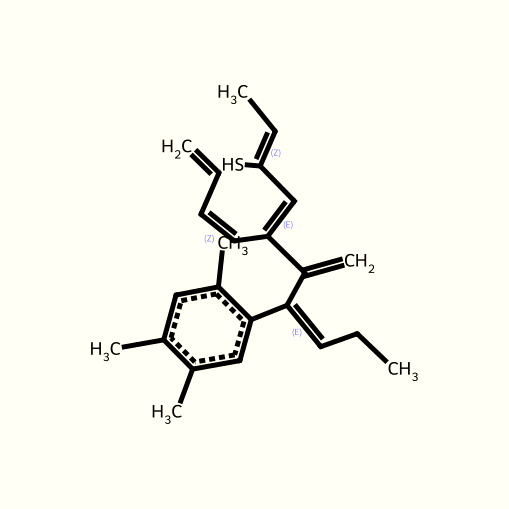 C=C\C=C/C(=C\C(S)=C\C)C(=C)/C(=C\CC)c1cc(C)c(C)cc1C